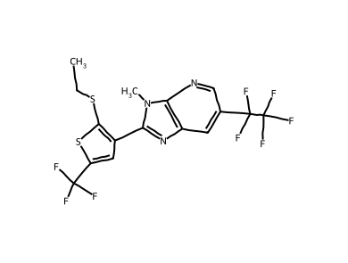 CCSc1sc(C(F)(F)F)cc1-c1nc2cc(C(F)(F)C(F)(F)F)cnc2n1C